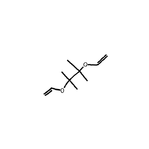 C=COC(C)(C)C(C)(C)OC=C